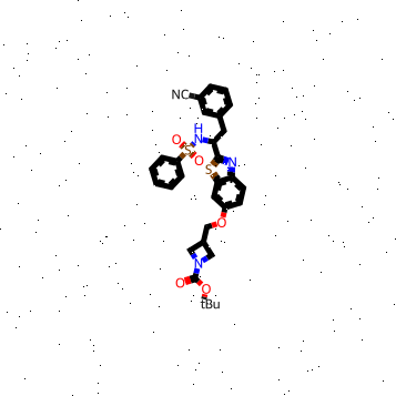 CC(C)(C)OC(=O)N1CC(COc2ccc3nc(C(Cc4cccc(C#N)c4)NS(=O)(=O)c4ccccc4)sc3c2)C1